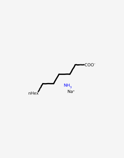 CCCCCCCCCCCC(=O)[O-].N.[Na+]